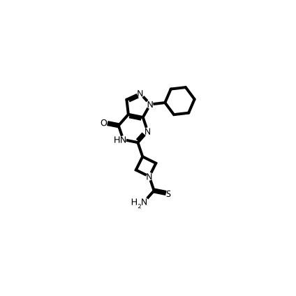 NC(=S)N1CC(c2nc3c(cnn3C3CCCCC3)c(=O)[nH]2)C1